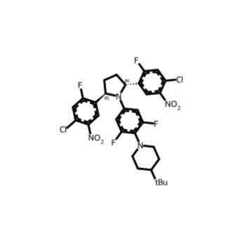 CC(C)(C)C1CCN(c2c(F)cc(N3[C@@H](c4cc([N+](=O)[O-])c(Cl)cc4F)CC[C@@H]3c3cc([N+](=O)[O-])c(Cl)cc3F)cc2F)CC1